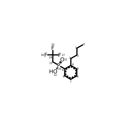 CCCCc1ccccc1P(=O)(O)CC(F)(F)F